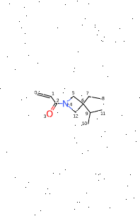 C=CC(=O)N1CC(CC)(C(C)C)C1